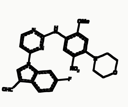 COc1cc(N2CCOCC2)c([N+](=O)[O-])cc1Nc1nccc(-n2cc(C=O)c3ccc(F)cc32)n1